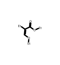 CCO/C=C(/CC)C(=O)OCC